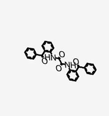 O=C(Nc1ccccc1C(=O)c1ccccc1)C(=O)Nc1ccccc1C(=O)c1ccccc1